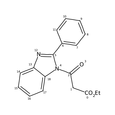 CCOC(=O)CC(=O)n1c(-c2ccccc2)nc2ccccc21